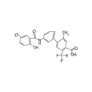 Cc1cc(C(=O)O)c(C(F)(F)F)cc1-c1cccc(NC(=O)c2cc(Cl)ccc2O)c1